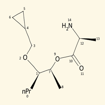 CCC[C@@H](OCC1CC1)[C@H](C)OC(=O)[C@H](C)N